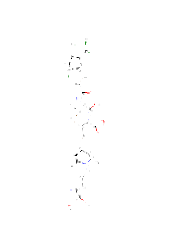 Cc1cc(SCC2=C(C(=O)O)N3C(=O)[C@H](NC(=O)CSc4cc(C(F)(F)F)ccc4Cl)[C@H]3SC2)cc(C)[n+]1CCC[C@H](N)C(=O)O